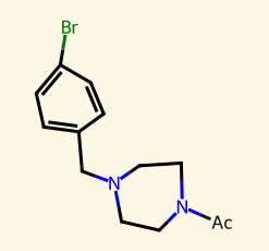 CC(=O)N1CCN(Cc2ccc(Br)cc2)CC1